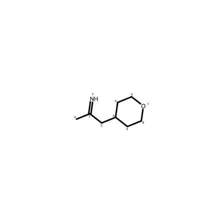 CC(=N)CC1CCOCC1